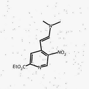 CCOC(=O)c1cc(C=CN(C)C)c([N+](=O)[O-])cn1